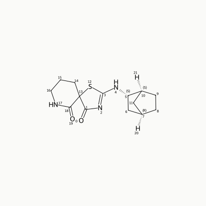 O=C1N=C(N[C@H]2C[C@@H]3CC[C@H]2C3)SC12CCCNC2=O